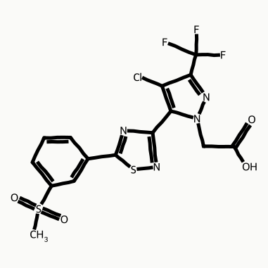 CS(=O)(=O)c1cccc(-c2nc(-c3c(Cl)c(C(F)(F)F)nn3CC(=O)O)ns2)c1